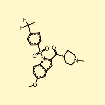 COc1ccc2c(c1)cc(C(=O)N1CCN(C)CC1)n2S(=O)(=O)c1ccc(C(F)(F)F)cc1